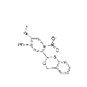 COc1cc([N+](=O)[O-])c(C2OCc3ccccc3S2)cc1O